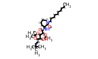 C=CCCCCCCCCN1CCCC[C@H](NC(=O)[C@H](OC)[C@@H]2OC(C)(C)O[C@H](/C=C/C(C)(C)C)[C@@H]2O)C1=O